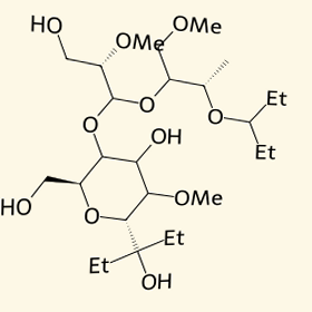 CCC(CC)O[C@@H](C)C(COC)OC(OC1C(O)C(OC)[C@H](C(O)(CC)CC)O[C@H]1CO)[C@H](CO)OC